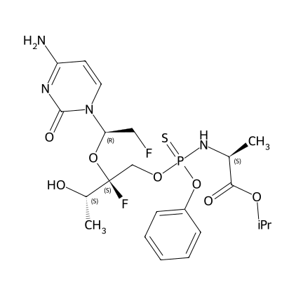 CC(C)OC(=O)[C@H](C)NP(=S)(OC[C@@](F)(O[C@H](CF)n1ccc(N)nc1=O)[C@H](C)O)Oc1ccccc1